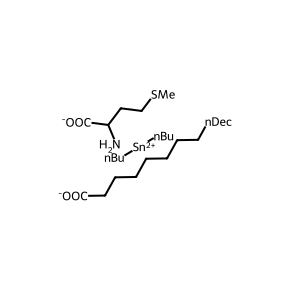 CCCCCCCCCCCCCCCCCC(=O)[O-].CCC[CH2][Sn+2][CH2]CCC.CSCCC(N)C(=O)[O-]